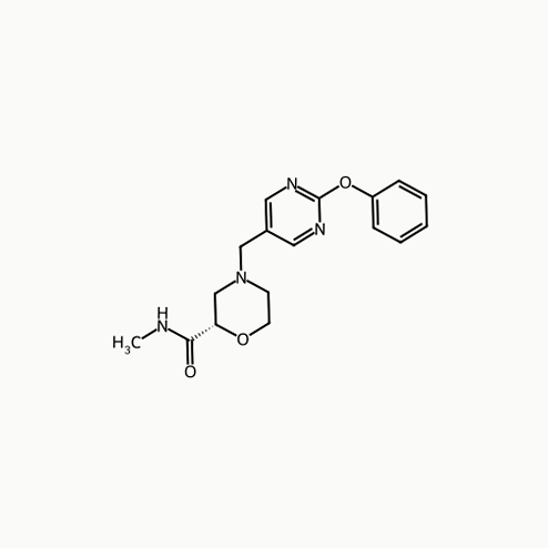 CNC(=O)[C@@H]1CN(Cc2cnc(Oc3ccccc3)nc2)CCO1